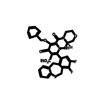 CCOC(=O)c1c(-c2cc(F)c(F)c3c2Cc2ccccc2SC3)n2c(c(OCc3ccccc3)c1=O)C(=O)N1CCOC[C@H]1N2